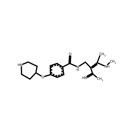 CN/C(C)=C(/CNC(=O)c1ccc(OC2CCNCC2)cc1)C(C)=N